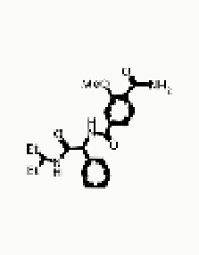 CCC(CC)NC(=O)C(NC(=O)c1ccc(C(N)=O)c(OC)c1)c1ccccc1